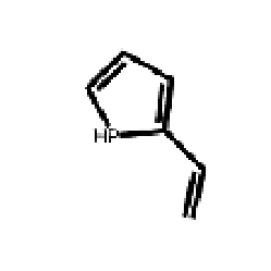 C=Cc1ccc[pH]1